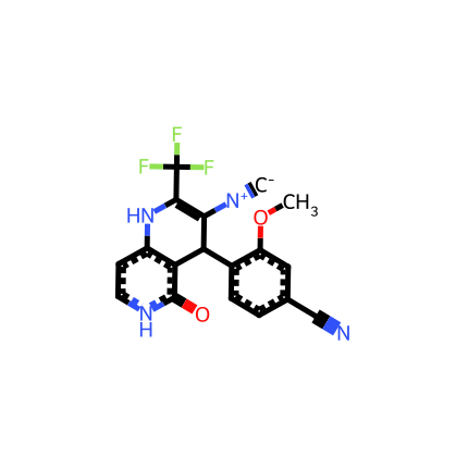 [C-]#[N+]C1=C(C(F)(F)F)Nc2cc[nH]c(=O)c2C1c1ccc(C#N)cc1OC